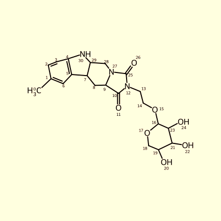 Cc1ccc2c(c1)C1CC3C(=O)N(CCOC4OCC(O)C(O)C4O)C(=O)N3CC1N2